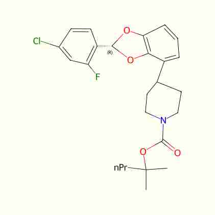 CCCC(C)(C)OC(=O)N1CCC(c2cccc3c2O[C@H](c2ccc(Cl)cc2F)O3)CC1